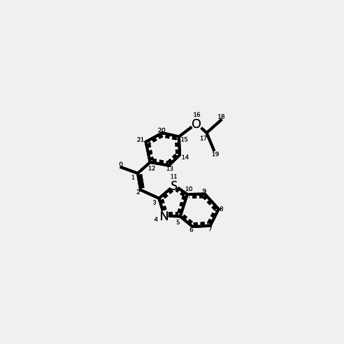 CC(=Cc1nc2ccccc2s1)c1ccc(OC(C)C)cc1